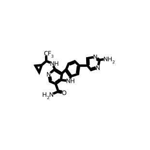 NC(=O)c1cnc(NC(C2CC2)C(F)(F)F)c2c1[nH]c1cc(-c3cnc(N)nc3)ccc12